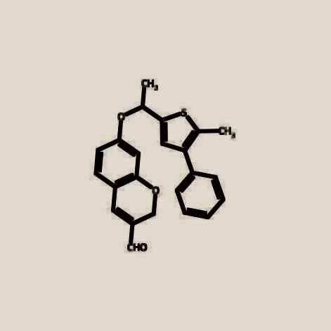 Cc1sc(C(C)Oc2ccc3c(c2)OCC(C=O)=C3)cc1-c1ccccc1